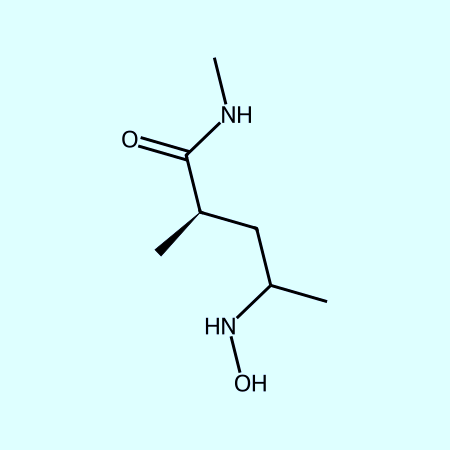 CNC(=O)[C@H](C)CC(C)NO